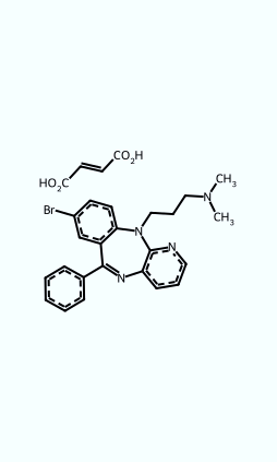 CN(C)CCCN1c2ccc(Br)cc2C(c2ccccc2)=Nc2cccnc21.O=C(O)C=CC(=O)O